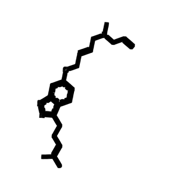 C=CCN(C)C/C=C/COc1ccc2c(CCC=C(C)C)nsc2c1